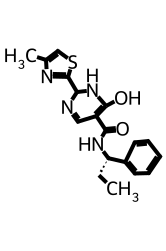 CC[C@H](NC(=O)C1=C(O)NC(c2nc(C)cs2)N=C1)c1ccccc1